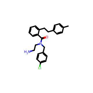 Cc1ccc(CCc2ccccc2C(=O)N(CCN)Cc2ccc(Cl)cc2)cc1